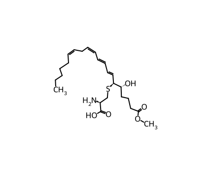 CCCCC/C=C\C\C=C/C=C/C=C/[C@H](SC[C@H](N)C(=O)O)[C@H](O)CCCC(=O)OC